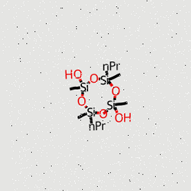 CCC[Si]1(C)O[Si](C)(O)O[Si](C)(CCC)O[Si](C)(O)O1